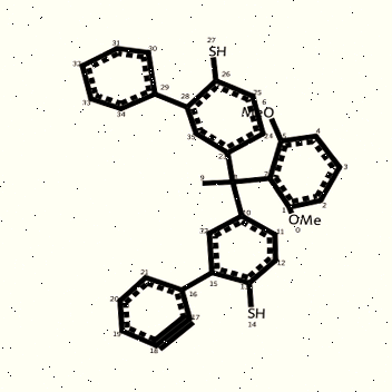 COc1cccc(OC)c1C(C)(c1ccc(S)c(-c2c#cccc2)c1)c1ccc(S)c(-c2ccccc2)c1